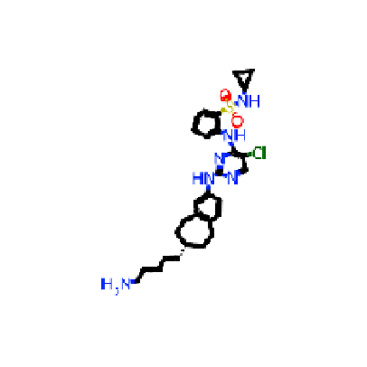 NCCCCC[C@H]1CCc2ccc(Nc3ncc(Cl)c(Nc4ccccc4S(=O)(=O)NC4CC4)n3)cc2CC1